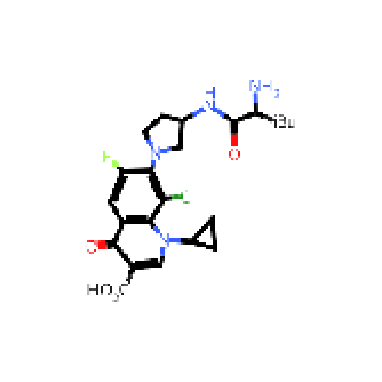 CCC(C)C(N)C(=O)NC1CCN(c2c(F)cc3c(=O)c(C(=O)O)cn(C4CC4)c3c2Cl)C1